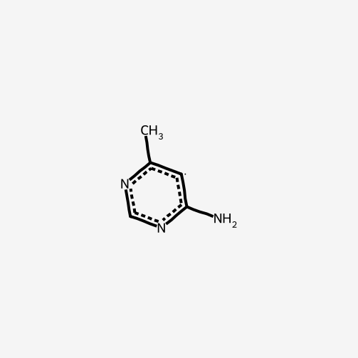 Cc1[c]c(N)ncn1